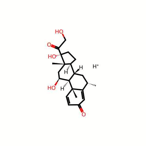 C[C@H]1C[C@@H]2[C@H]([C@@H](O)C[C@@]3(C)[C@H]2CC[C@]3(O)C(=O)CO)[C@@]2(C)C=CC(=O)C=C12.[H+]